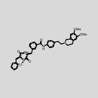 COc1cc2c(cc1OC)CN(CCc1ccc(NC(=O)c3cccc(/C=c4\[nH]c(=O)/c(=C/c5ccccc5)n(C)c4=O)c3)cc1)CC2